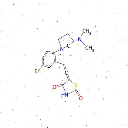 CN(C)[C@H]1CCN(c2ccc(Br)cc2C=C=C2SC(=O)NC2=O)C1